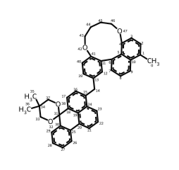 Cc1ccc2c3c(cccc13)-c1cc(Cc3ccc4c5c(cccc35)-c3ccccc3C43OCC(C)(C)CO3)ccc1OCCCCO2